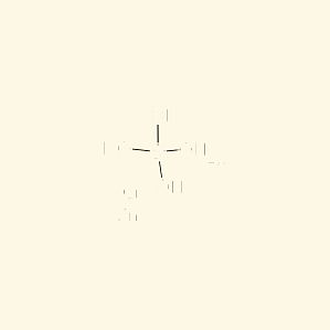 O[Si](O)(O)O.[Cr].[Fe].[Zn]